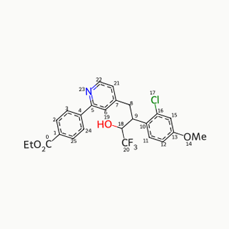 CCOC(=O)c1ccc(-c2cc(CC(c3ccc(OC)cc3Cl)C(O)C(F)(F)F)ccn2)cc1